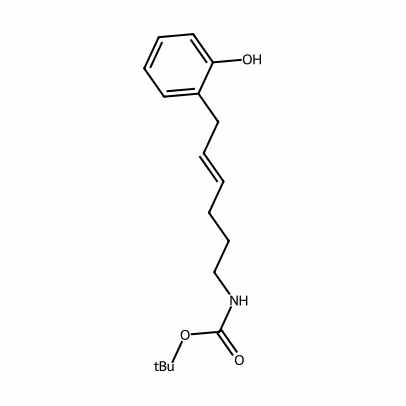 CC(C)(C)OC(=O)NCCCC=CCc1ccccc1O